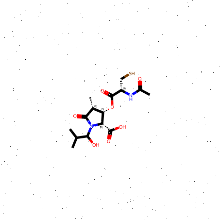 CC(=O)N[C@@H](CS)C(=O)O[C@H]1[C@@H](C)C(=O)N(C(O)C(C)C)[C@H]1C(=O)O